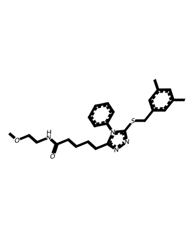 COCCNC(=O)CCCCc1nnc(SCc2cc(C)cc(C)c2)n1-c1ccccc1